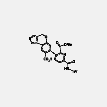 CCCNC(=O)c1ccc(-c2cc3c(cc2C(=O)O)-c2cscc2CO3)c(C(=O)OC)n1